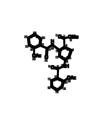 COC(=O)c1ccc(NC(=O)c2ccccc2OC(C)=O)cc1NC(=O)c1ccccc1OC(C)=O